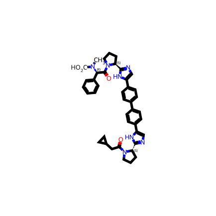 CN(C(=O)O)[C@@H](C(=O)N1CCC[C@H]1c1ncc(-c2ccc(-c3ccc(-c4cnc([C@@H]5CCCN5C(=O)CC5CC5)[nH]4)cc3)cc2)[nH]1)c1ccccc1